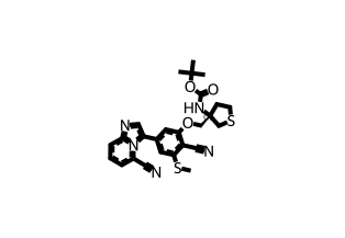 CSc1cc(-c2cnc3cccc(C#N)n23)cc(OC[C@@]2(NC(=O)OC(C)(C)C)CCSC2)c1C#N